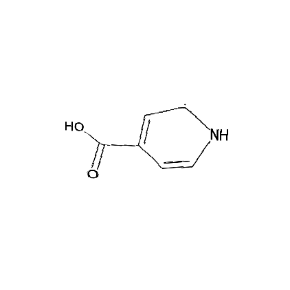 O=C(O)C1=C[CH]NC=C1